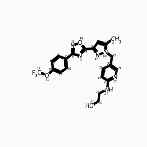 Cc1cc(-c2nc(-c3ccc(OC(F)(F)F)cc3)no2)nn1Cc1ccc(NCCO)nc1